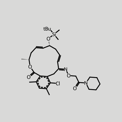 Cc1cc(C)c2c(c1Cl)CC(=NOCC(=O)N1CCCCC1)/C=C/C[C@@H](O[Si](C)(C)C(C)(C)C)/C=C/C[C@@H](C)OC2=O